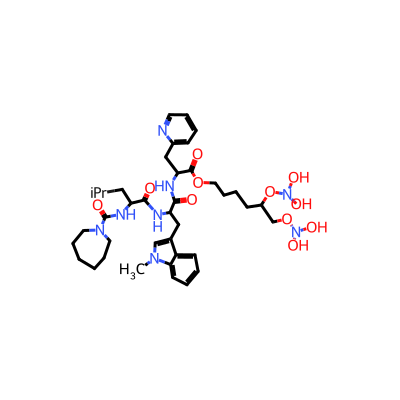 CC(C)CC(NC(=O)N1CCCCCC1)C(=O)NC(Cc1cn(C)c2ccccc12)C(=O)NC(Cc1ccccn1)C(=O)OCCCCC(CON(O)O)ON(O)O